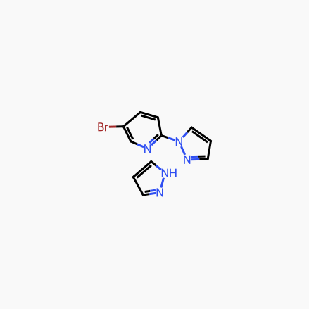 Brc1ccc(-n2cccn2)nc1.c1cn[nH]c1